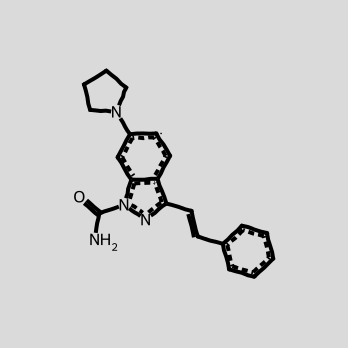 NC(=O)n1nc(C=Cc2ccccc2)c2c[c]c(N3CCCC3)cc21